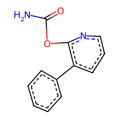 NC(=O)Oc1ncccc1-c1ccccc1